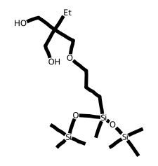 CCC(CO)(CO)COCCC[Si](C)(O[Si](C)(C)C)O[Si](C)(C)C